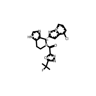 CC(C)(F)c1nnc(C(=O)N2CCc3[nH]cnc3[C@@H]2c2cc3c(Cl)cccn3n2)o1